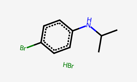 Br.CC(C)Nc1ccc(Br)cc1